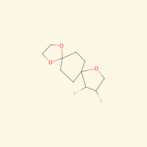 FC1COC2(CCC3(CC2)OCCO3)C1F